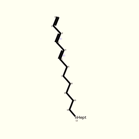 [CH]=C/C=C/C=C/CCCCCCCCCCCCC